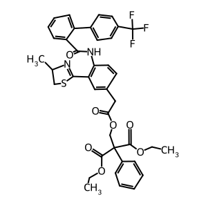 CCOC(=O)C(COC(=O)Cc1ccc(NC(=O)c2ccccc2-c2ccc(C(F)(F)F)cc2)c(C2=NC(C)CS2)c1)(C(=O)OCC)c1ccccc1